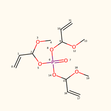 C=CC(OC)OP(=O)(OC(C=C)OC)OC(C=C)OC